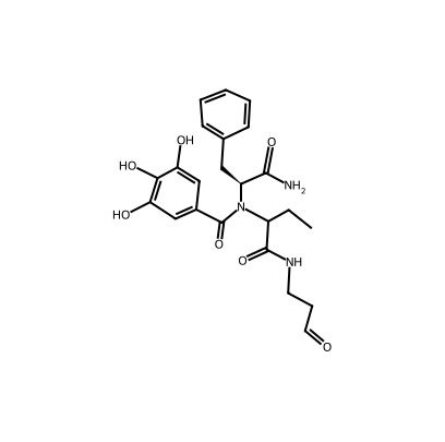 CCC(C(=O)NCCC=O)N(C(=O)c1cc(O)c(O)c(O)c1)[C@@H](Cc1ccccc1)C(N)=O